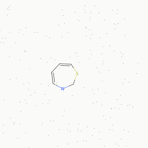 C1=C[N]CSC=C1